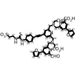 O=CCN(Cc1cc(C#Cc2ccc(NC(=S)NCCS(=O)(=O)O)cc2)cc(CN(CC(=O)O)Cc2cc(-c3ccco3)cc(C=O)n2)n1)Cc1cc(-c2ccco2)cc(C(=O)O)n1